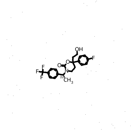 C[C@@H](c1ccc(C(F)(F)F)cc1)N1CCC(CCO)(c2ccc(F)cc2)OC1=O